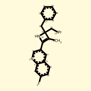 CC1=C(c2cnc3cc(F)ccc3c2)NC1(Cc1ccccc1)CC(C)C